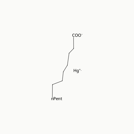 CCCCCCCCCCCC(=O)[O-].[Hg+]